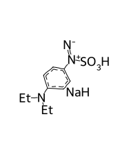 CCN(CC)c1ccc([N+](=[N-])S(=O)(=O)O)cc1.[NaH]